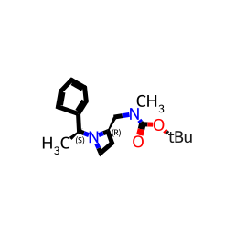 C[C@@H](c1ccccc1)N1CC[C@@H]1CN(C)C(=O)OC(C)(C)C